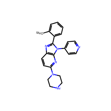 COc1ccccc1-c1nc2ccc(N3CCNCC3)nc2n1-c1ccncc1